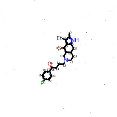 CCc1c(C)[nH]c2c1C(=S)C1CN(CCCC(=O)c3ccc(F)cc3)CCC1C2